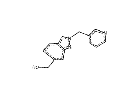 OCc1ccc2cn(Cc3cccnc3)nc2c1